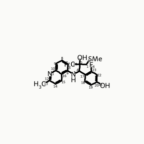 CSCC(O)(C(Nc1cccc2nc(C)ccc12)c1ccc(O)cc1F)C(F)(F)F